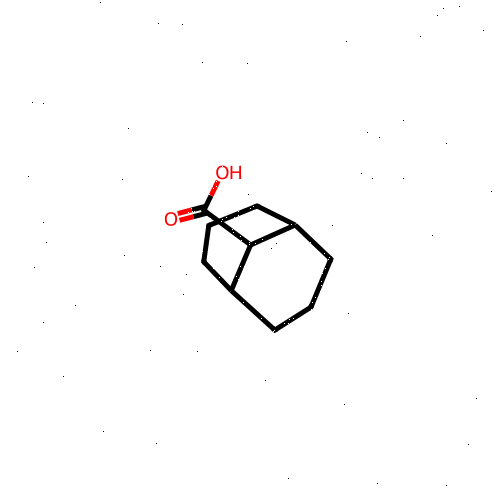 O=C(O)C1C2CCCC1CCC2